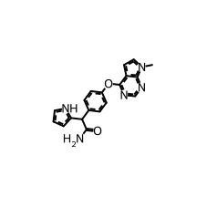 Cn1ccc2c(Oc3ccc(C(C(N)=O)c4ccc[nH]4)cc3)ncnc21